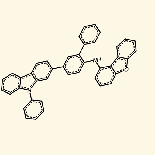 c1ccc(-c2cc(-c3ccc4c5ccccc5n(-c5ccccc5)c4c3)ccc2Nc2cccc3oc4ccccc4c23)cc1